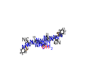 [C-]#[N+]c1cn(-c2nc3ccccc3s2)nc1N=Nc1c(C)nn(-c2nc(O)nc(-n3nc(C)c(N=Nc4nn(-c5nc6ccccc6s5)cc4C#N)c3N)n2)c1N